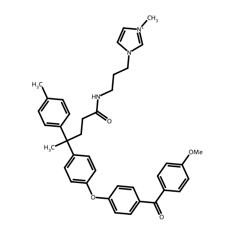 COc1ccc(C(=O)c2ccc(Oc3ccc(C(C)(CCC(=O)NCCCn4cc[n+](C)c4)c4ccc(C)cc4)cc3)cc2)cc1